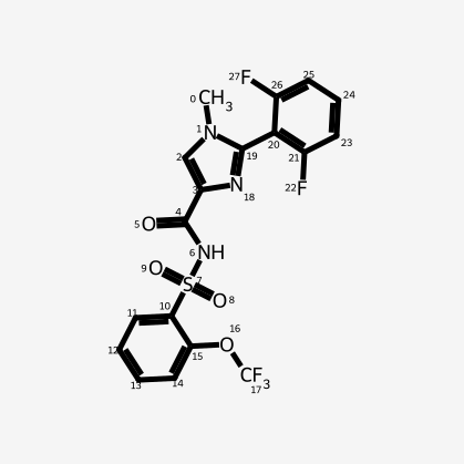 Cn1cc(C(=O)NS(=O)(=O)c2ccccc2OC(F)(F)F)nc1-c1c(F)cccc1F